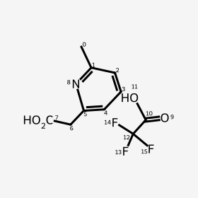 Cc1cccc(CC(=O)O)n1.O=C(O)C(F)(F)F